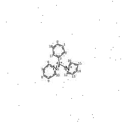 c1ccc([I+]([n+]2ccccc2)[n+]2ccccc2)cc1